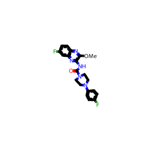 COc1nc2ccc(F)cc2nc1NC(=O)N1CCN(c2ccc(F)cc2)CC1